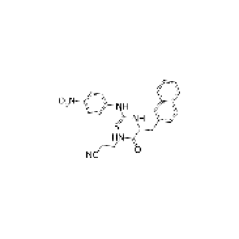 N#CCCNC(=O)C(Cc1ccc2ccccc2c1)NC(=S)Nc1ccc([N+](=O)[O-])cc1